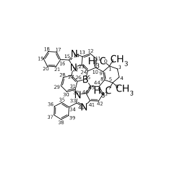 CC1(C)CCC(C)(C)C2=C1c1ccc3nc(-c4ccccc4)n4c3c1B1c3c-4cccc3-n3c(-c4ccccc4)nc4ccc2c1c43